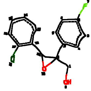 OCC1(c2ccc(F)cc2)OC1c1ccccc1Cl